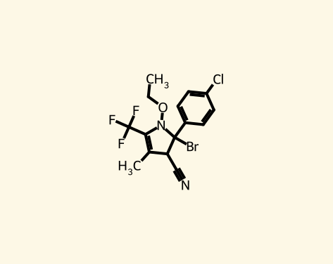 CCON1C(C(F)(F)F)=C(C)C(C#N)C1(Br)c1ccc(Cl)cc1